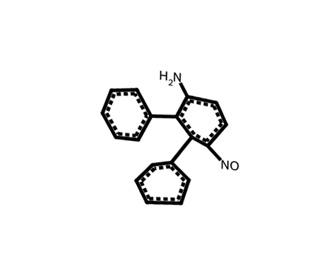 Nc1ccc(N=O)c(-c2ccccc2)c1-c1ccccc1